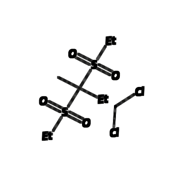 CCC(C)(S(=O)(=O)CC)S(=O)(=O)CC.ClCCl